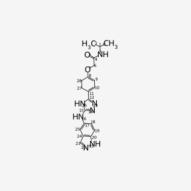 CC(C)NC(=O)COC1=CC=C(c2nnc(Nc3ccc4[nH]ncc4c3)[nH]2)CC1